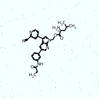 C=CC(=O)Nc1cccc(-c2cnc3c(c2)c(-c2ccnc(C#N)c2)cn3COC(=O)[C@@H](N)CC(C)C)c1